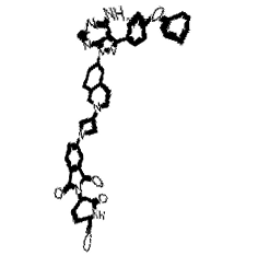 Nc1ncnc2c1c(-c1ccc(Oc3ccccc3)cc1)nn2C1CCC2CN(C3CN(c4ccc5c(c4)C(=O)N(C4CCC(=O)NC4=O)C5=O)C3)CCC2C1